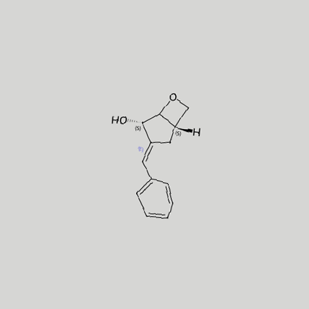 O[C@H]1/C(=C/c2ccccc2)C[C@H]2COC21